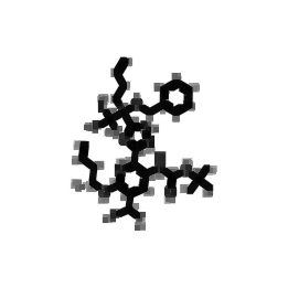 C=CCC[C@@](OCc1ccccc1)(c1nnc(-c2nc(O[C@H](C)CC=C)c(C(F)F)cc2NC(=O)OC(C)(C)C)o1)C(F)(F)F